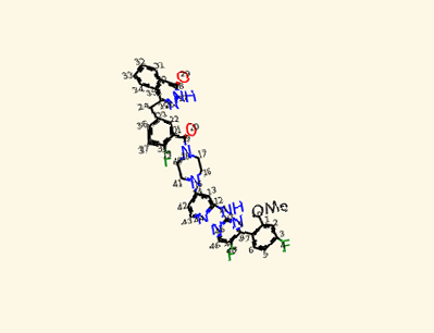 COc1cc(F)ccc1-c1nc(Nc2cc(N3CCN(C(=O)c4cc(Cc5n[nH]c(=O)c6ccccc56)ccc4F)CC3)ccn2)ncc1F